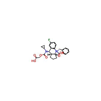 O=C(O)COC(=O)N(C1CC1)[C@H]1c2cc(F)ccc2[N@@+](Cc2ccccc2)(C(=O)O)[C@@H]2CCC[C@@H]21